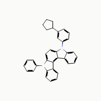 c1ccc(-n2c3ccccc3c3c4c5ccccc5n(-c5cccc(C6CCCC6)c5)c4ccc32)cc1